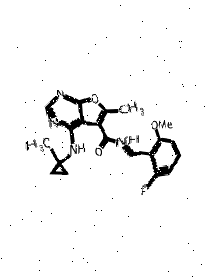 COc1cccc(F)c1CNC(=O)c1c(C)oc2ncnc(NC3(C)CC3)c12